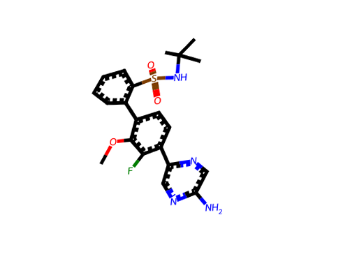 COc1c(-c2ccccc2S(=O)(=O)NC(C)(C)C)ccc(-c2cnc(N)cn2)c1F